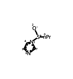 CCC[S+]([O-])n1ccnc1